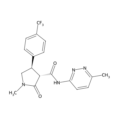 Cc1ccc(NC(=O)[C@@H]2C(=O)N(C)C[C@H]2c2ccc(C(F)(F)F)cc2)nn1